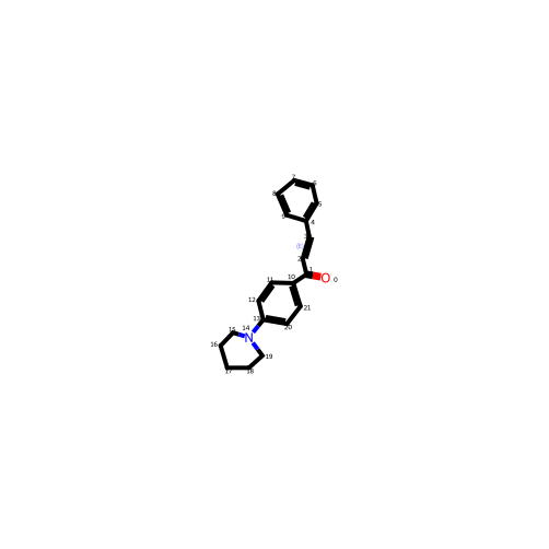 O=C(/C=C/c1ccccc1)c1ccc(N2CCCCC2)cc1